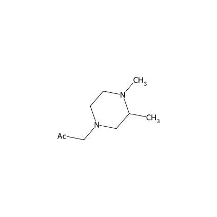 CC(=O)CN1CCN(C)C(C)C1